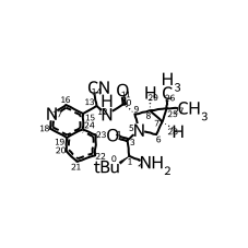 CC(C)(C)[C@H](N)C(=O)N1C[C@H]2[C@@H]([C@H]1C(=O)NC(C#N)c1cncc3ccccc13)C2(C)C